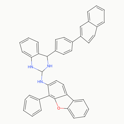 c1ccc(-c2c(NC3Nc4ccccc4C(c4ccc(-c5ccc6ccccc6c5)cc4)N3)ccc3c2oc2ccccc23)cc1